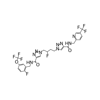 O=C(NCc1ccc(C(F)(F)F)cn1)c1cn(CCC(F)Cn2cc(C(=O)NCc3cc(OC(F)(F)F)ccc3F)nn2)nn1